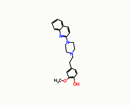 COc1cc(CCN2CCN(c3ccc4ccccc4n3)CC2)ccc1O